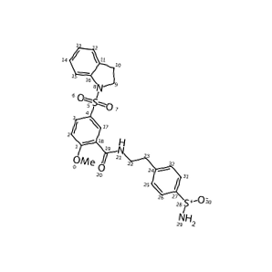 COc1ccc(S(=O)(=O)N2CCc3ccccc32)cc1C(=O)NCCc1ccc([S+](N)[O-])cc1